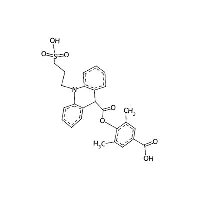 Cc1cc(C(=O)O)cc(C)c1OC(=O)C1c2ccccc2N(CCCS(=O)(=O)O)c2ccccc21